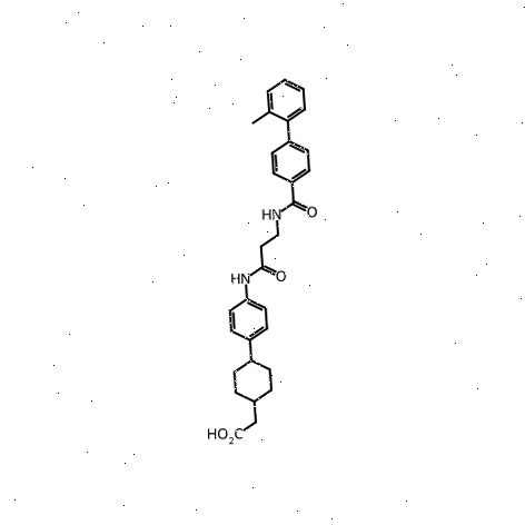 Cc1ccccc1-c1ccc(C(=O)NCCC(=O)Nc2ccc(C3CCC(CC(=O)O)CC3)cc2)cc1